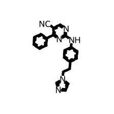 N#Cc1cnc(Nc2ccc(CCn3ccnc3)cc2)nc1-c1ccccc1